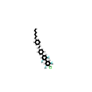 CCCCCC[C@H]1CC[C@H](CC[C@H]2CC[C@H](c3cc(F)c(-c4cc(F)c(Cl)c(F)c4)c(F)c3)CC2)CC1